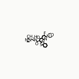 Cc1nccn1CCNC(=O)c1c(=O)c2cc(F)c(N3CCOCC3)nc2n2c1sc1ccccc12